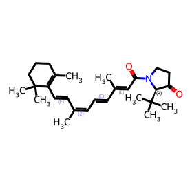 CC1=C(/C=C/C(C)=C\C=C\C(C)=C\C(=O)N2CCC(=O)[C@H]2C(C)(C)C)C(C)(C)CCC1